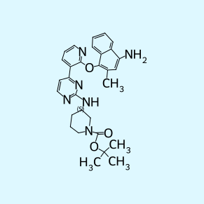 Cc1cc(N)c2ccccc2c1Oc1ncccc1-c1ccnc(N[C@H]2CCCN(C(=O)OC(C)(C)C)C2)n1